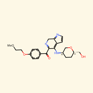 COCCOc1ccc(C(=O)C2=NCC3=NC=CC3=C2N[C@@H]2CC[C@@H](CO)OC2)cc1